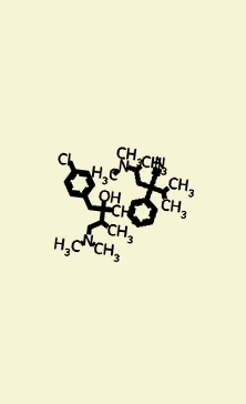 CC(CC(C#N)(c1ccccc1)C(C)C)N(C)C.CC(CN(C)C)C(C)(O)Cc1ccc(Cl)cc1